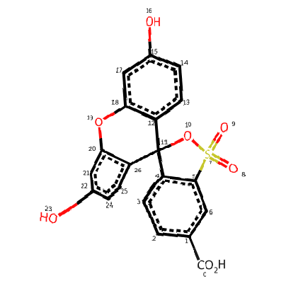 O=C(O)c1ccc2c(c1)S(=O)(=O)OC21c2ccc(O)cc2Oc2cc(O)ccc21